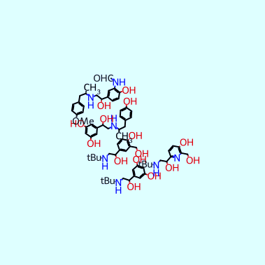 CC(C)(C)NCC(O)c1cc(O)cc(O)c1.CC(C)(C)NCC(O)c1ccc(O)c(CO)c1.CC(C)(C)NCC(O)c1ccc(O)c(CO)n1.CC(Cc1ccc(O)cc1)NCC(O)c1cc(O)cc(O)c1.COc1ccc(C[C@@H](C)NC[C@H](O)c2ccc(O)c(NC=O)c2)cc1